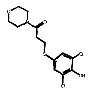 O=C(CCSc1cc(Cl)c(O)c(Cl)c1)N1CCOCC1